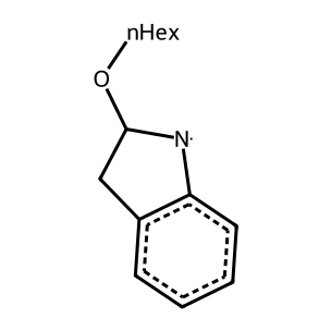 CCCCCCOC1Cc2ccccc2[N]1